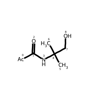 CC(=O)C(=O)NC(C)(C)CO